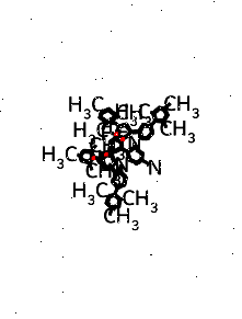 Cc1cc(C)c(-c2ccc3c(c2)c2cc(-c4c(C)cc(C)cc4C)ccc2n3-c2cc(C#N)cc(-n3c4ccc(-c5c(C)cc(C)cc5C)cc4c4cc(-c5c(C)cc(C)cc5C)ccc43)c2-c2cc(C#N)cc(C(F)(F)F)c2)c(C)c1